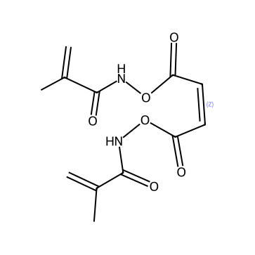 C=C(C)C(=O)NOC(=O)/C=C\C(=O)ONC(=O)C(=C)C